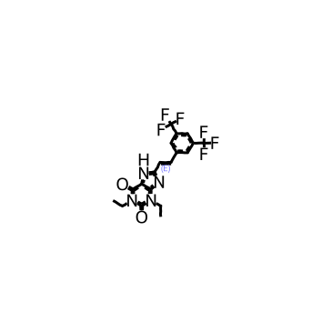 CCn1c(=O)c2[nH]c(/C=C/c3cc(C(F)(F)F)cc(C(F)(F)F)c3)nc2n(CC)c1=O